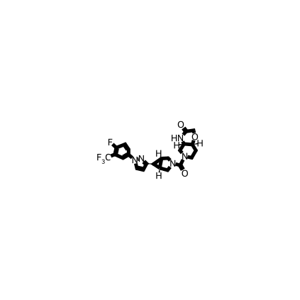 O=C1CO[C@H]2CCN(C(=O)N3C[C@@H]4[C@H](C3)[C@H]4c3ccn(-c4ccc(F)c(C(F)(F)F)c4)n3)C[C@H]2N1